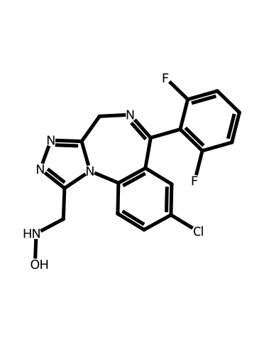 ONCc1nnc2n1-c1ccc(Cl)cc1C(c1c(F)cccc1F)=NC2